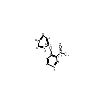 O=[N+]([O-])c1cnccc1Cl.c1cncnc1